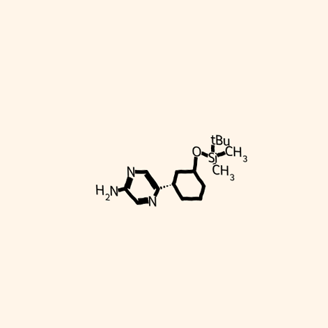 CC(C)(C)[Si](C)(C)OC1CCC[C@H](c2cnc(N)cn2)C1